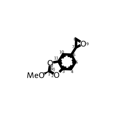 CO[C@@H]1Oc2ccc(C3CO3)cc2O1